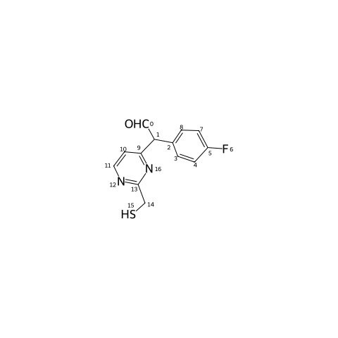 O=CC(c1ccc(F)cc1)c1ccnc(CS)n1